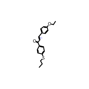 CCCSc1ccc(C(=O)/C=C/c2ccc(OCC)cc2)cc1